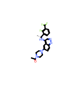 CC(=O)N1CCN(c2ccc3nncc(N[C@H](C)c4cccc(C(F)F)c4F)c3c2)CC1